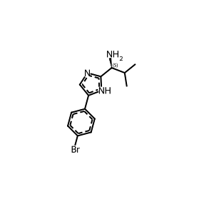 CC(C)[C@H](N)c1ncc(-c2ccc(Br)cc2)[nH]1